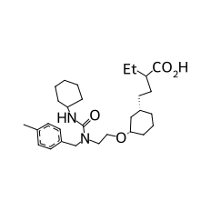 CCC(CC[C@@H]1CCC[C@H](OCCN(Cc2ccc(C)cc2)C(=O)NC2CCCCC2)C1)C(=O)O